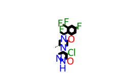 CC(c1ccc(F)cc1C(F)(F)F)N1C[C@@H](C)N(c2cn[nH]c(=O)c2Cl)CC1=O